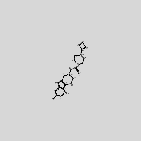 Cc1cc2sc3c(c2nn1)CCN(CC(=O)N1CCN(C2CCC2)CC1)C3